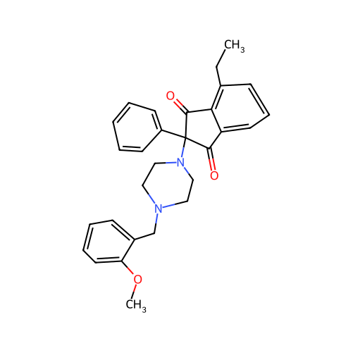 CCc1cccc2c1C(=O)C(c1ccccc1)(N1CCN(Cc3ccccc3OC)CC1)C2=O